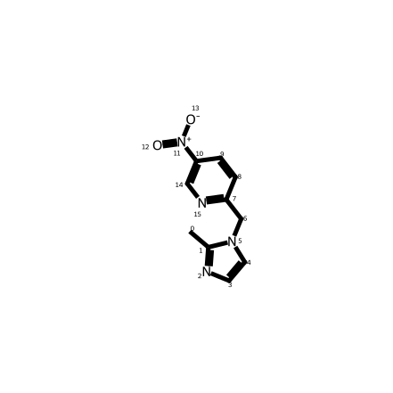 Cc1nccn1Cc1ccc([N+](=O)[O-])cn1